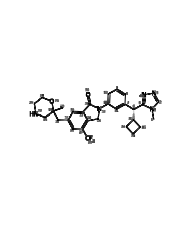 Cn1cnnc1[C@@H](c1cccc(N2Cc3c(cc(CC4(C)CNCCO4)cc3C(F)(F)F)C2=O)c1)C1CCC1